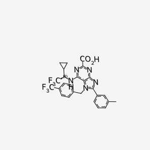 Cc1cccc(-c2nc3nc(C(=O)O)nc(N[C@H](C4CC4)C(F)(F)F)c3n2Cc2ccc(C(F)(F)F)cc2)c1